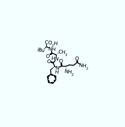 CC[C@H](C)[C@H](NC(=O)[C@H](C)NC(=O)[C@H](Cc1ccccc1)NC(=O)[C@@H](N)CCC(N)=O)C(=O)O